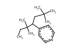 CCC(C)(C)C(CC(C)(C)C)c1ccncc1